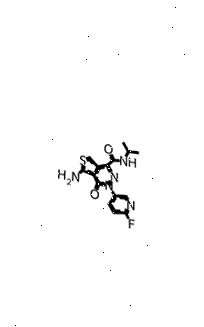 CC(C)NC(=O)c1nn(-c2ccc(F)nc2)c(=O)c2c(N)scc12